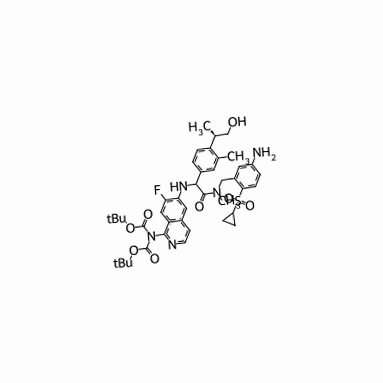 Cc1cc(C(Nc2cc3ccnc(N(C(=O)OC(C)(C)C)C(=O)OC(C)(C)C)c3cc2F)C(=O)N(C)Cc2cc(N)ccc2S(=O)(=O)C2CC2)ccc1[C@@H](C)CO